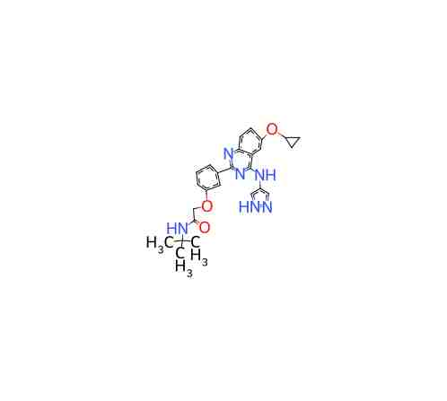 CC(C)(C)NC(=O)COc1cccc(-c2nc(Nc3cn[nH]c3)c3cc(OC4CC4)ccc3n2)c1